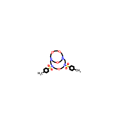 Cc1ccc(S(=O)(=O)N2CCOCCN(S(=O)(=O)c3ccc(C)cc3)CCN3CCOCCOCCN(CCOCC3)CC2)cc1